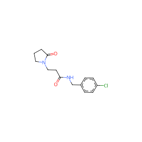 O=C(CCN1CCCC1=O)NCc1ccc(Cl)cc1